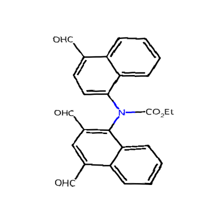 CCOC(=O)N(c1ccc(C=O)c2ccccc12)c1c(C=O)cc(C=O)c2ccccc12